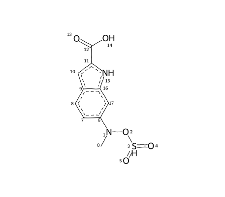 CN(O[SH](=O)=O)c1ccc2cc(C(=O)O)[nH]c2c1